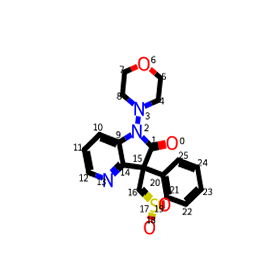 O=C1N(N2CCOCC2)c2cccnc2C1(C=S(=O)=O)c1ccccc1